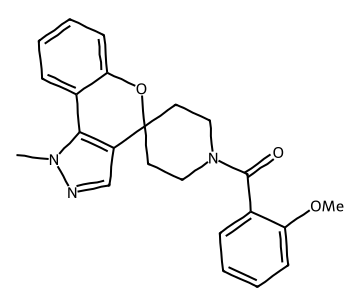 COc1ccccc1C(=O)N1CCC2(CC1)Oc1ccccc1-c1c2cnn1C